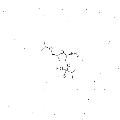 B[C@@H]1O[C@H](COC(C)C)C[C@H]1OP(O)(=S)C(C)C